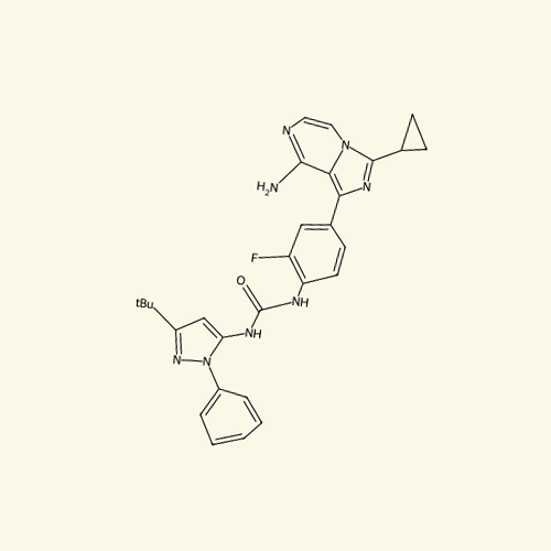 CC(C)(C)c1cc(NC(=O)Nc2ccc(-c3nc(C4CC4)n4ccnc(N)c34)cc2F)n(-c2ccccc2)n1